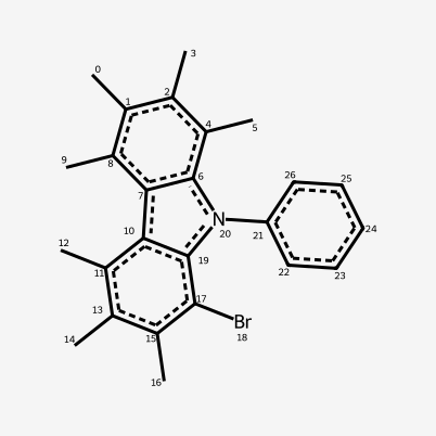 Cc1c(C)c(C)c2c(c1C)c1c(C)c(C)c(C)c(Br)c1n2-c1ccccc1